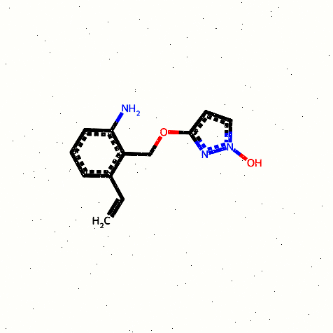 C=Cc1cccc(N)c1COc1ccn(O)n1